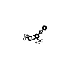 Cc1cc(C2CN(c3ccccc3)C2)cc(C)c1CN1CCC(C(=O)O)CC1.O=CO